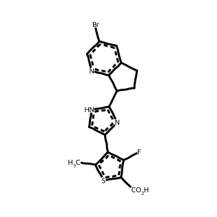 Cc1sc(C(=O)O)c(F)c1-c1c[nH]c(C2CCc3cc(Br)cnc32)n1